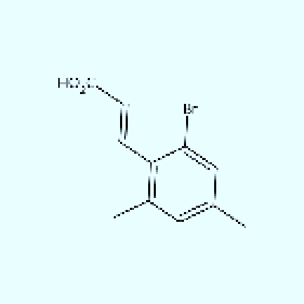 Cc1cc(C)c(C=CC(=O)O)c(Br)c1